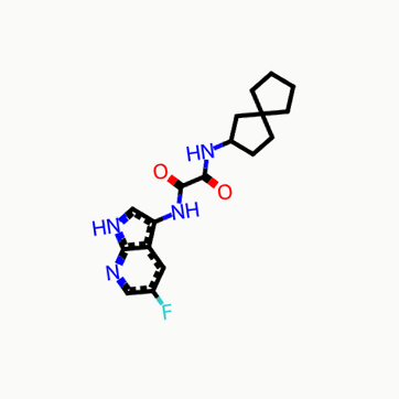 O=C(Nc1c[nH]c2ncc(F)cc12)C(=O)NC1CCC2(CCCC2)C1